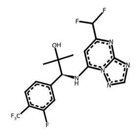 CC(C)(O)[C@@H](Nc1cc(C(F)F)nc2ncnn12)c1ccc(C(F)(F)F)c(F)c1